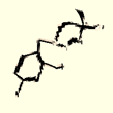 C[C@]1(S)CN(Cc2ccc(Br)cc2F)N=N1